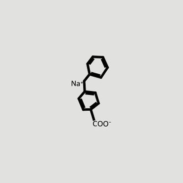 O=C([O-])c1ccc(Cc2ccccc2)cc1.[Na+]